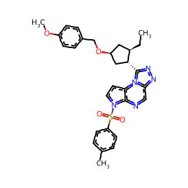 CC[C@@H]1C[C@H](OCc2ccc(OC)cc2)C[C@H]1c1nnc2cnc3c(ccn3S(=O)(=O)c3ccc(C)cc3)n12